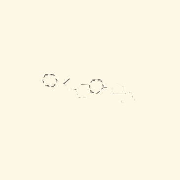 N[C@@]1(CO)CC[C@H](c2ccc3c(c2)CCC(OC(=O)c2ccccc2)C3)C1